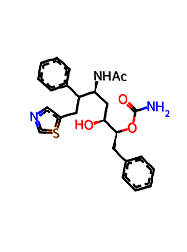 CC(=O)N[C@@H](C[C@H](O)[C@H](Cc1ccccc1)OC(N)=O)C(Cc1cncs1)c1ccccc1